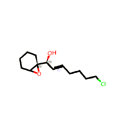 O[C@@H](/C=C/CCCCCl)[C@@]12CCCCC1O2